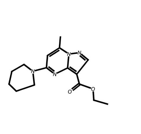 CCOC(=O)c1cnn2c(C)cc(N3CCCCC3)nc12